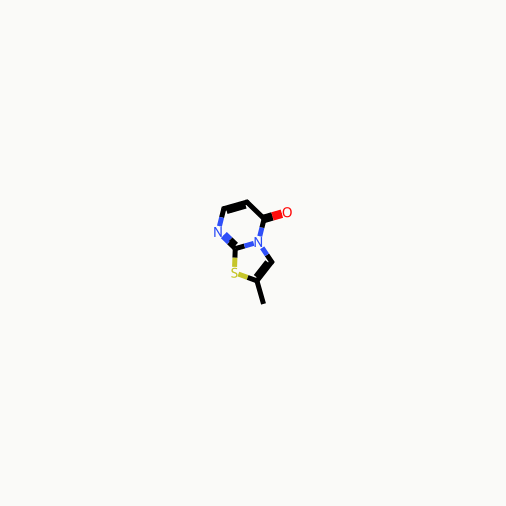 Cc1cn2c(=O)ccnc2s1